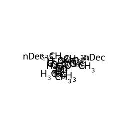 CCCCCCCCCCCCCC(C)CC(=O)OCC1O[C@H](O[C@H]2OC(COC(=O)CC(C)CCCCCCCCCCCCC)[C@@H](C)[C@H](C)C2C)C(C)[C@@H](C)[C@@H]1C